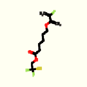 C=C(F)C(=C)OCCCCCC(=O)OCC(F)(F)S